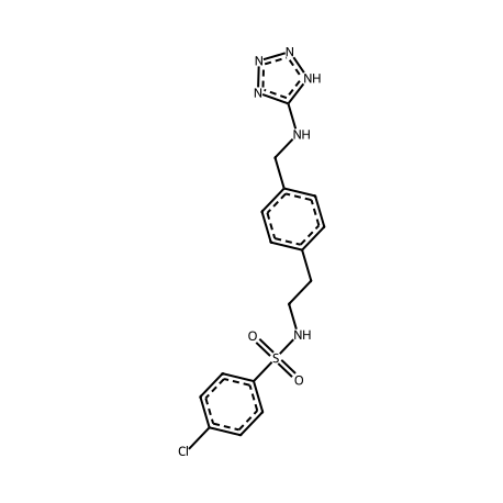 O=S(=O)(NCCc1ccc(CNc2nnn[nH]2)cc1)c1ccc(Cl)cc1